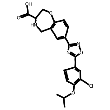 CC(C)Oc1ccc(-c2nc(-c3ccc4c(c3)CNC(C(=O)O)CO4)no2)cc1Cl